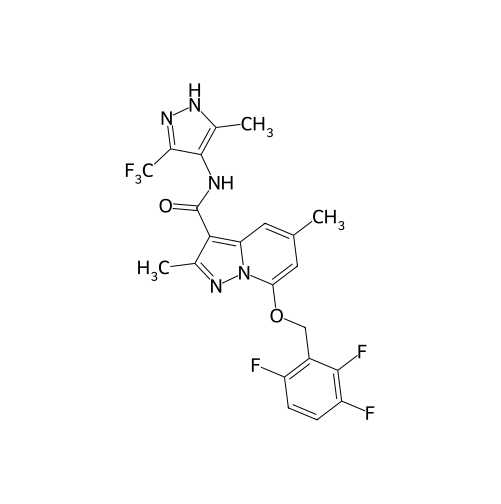 Cc1cc(OCc2c(F)ccc(F)c2F)n2nc(C)c(C(=O)Nc3c(C(F)(F)F)n[nH]c3C)c2c1